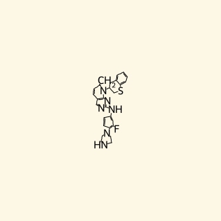 C=C1C=Cc2cnc(Nc3ccc(N4CCNCC4)c(F)c3)nc2N1C1CSc2ccccc2C1